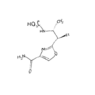 CC[C@@H](c1nc(C(N)=O)co1)[C@@H](C)NC(=O)O